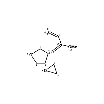 C1CCOC1.C1CO1.C=CC(=O)OC